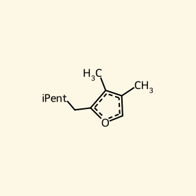 CCCC(C)Cc1occ(C)c1C